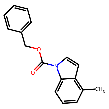 Cc1cccc2c1ccn2C(=O)OCc1ccccc1